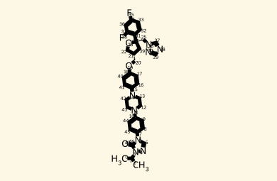 CC(C)n1ncn(-c2ccc(N3CCN(c4ccc(OC[C@@H]5CO[C@@](Cn6cncn6)(c6ccc(F)cc6F)C5)cc4)CC3)cc2)c1=O